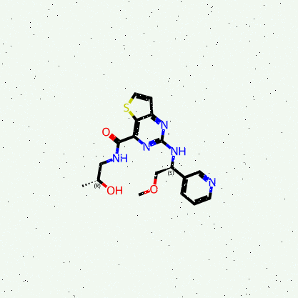 COC[C@@H](Nc1nc(C(=O)NC[C@@H](C)O)c2sccc2n1)c1cccnc1